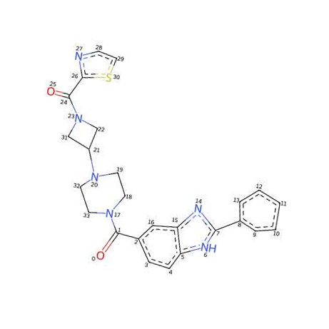 O=C(c1ccc2[nH]c(-c3ccccc3)nc2c1)N1CCN(C2CN(C(=O)c3nccs3)C2)CC1